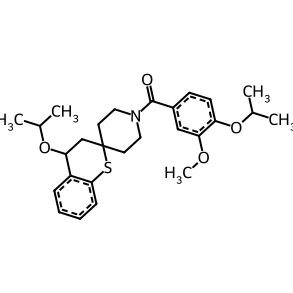 COc1cc(C(=O)N2CCC3(CC2)CC(OC(C)C)c2ccccc2S3)ccc1OC(C)C